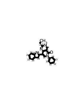 CSc1ncc2c(=O)n(-c3ccccc3)cc(C3=Nc4ccccc4C3)c2n1